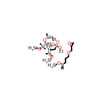 CCO[Si](CC[SiH](C)O[SiH3])(OCC)OCC.C[SiH2]O[SiH2][Si](C)(C)O[SiH3].C[SiH](CCCOCC1CO1)O[SiH3]